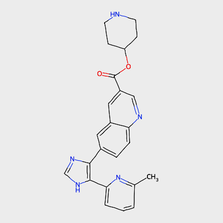 Cc1cccc(-c2[nH]cnc2-c2ccc3ncc(C(=O)OC4CCNCC4)cc3c2)n1